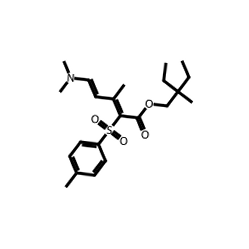 CCC(C)(CC)COC(=O)/C(=C(C)/C=C/N(C)C)S(=O)(=O)c1ccc(C)cc1